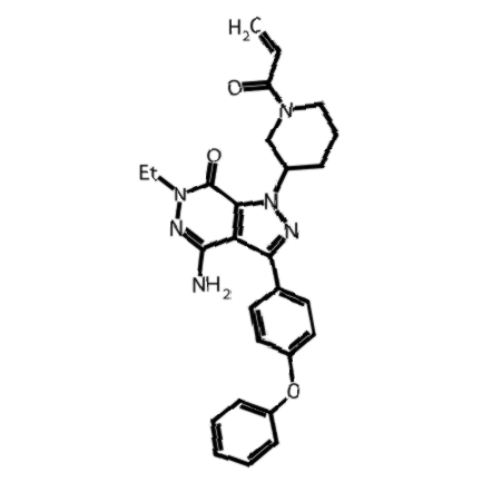 C=CC(=O)N1CCCC(n2nc(-c3ccc(Oc4ccccc4)cc3)c3c(N)nn(CC)c(=O)c32)C1